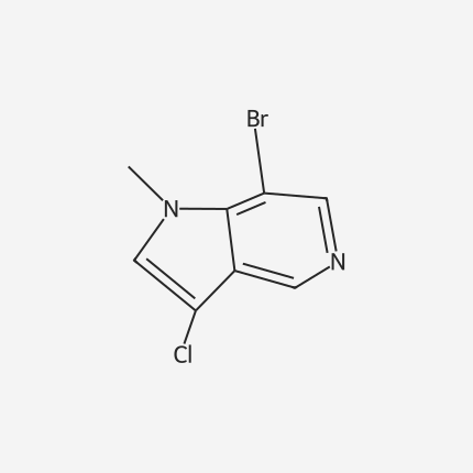 Cn1cc(Cl)c2cncc(Br)c21